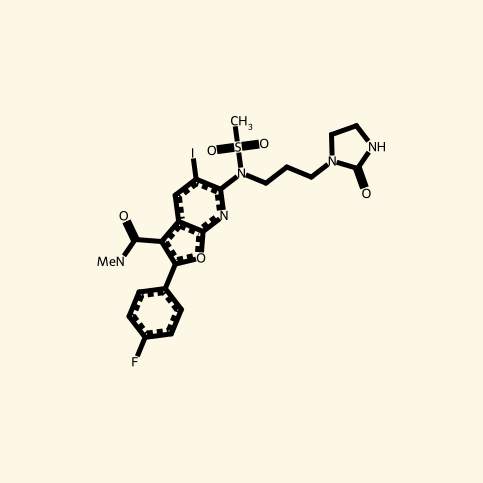 CNC(=O)c1c(-c2ccc(F)cc2)oc2nc(N(CCCN3CCNC3=O)S(C)(=O)=O)c(I)cc12